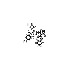 CCc1ccc(C(=O)N(CCCN)C(CC)c2nc3onc(C)c3c(=O)n2Cc2ccccc2)cc1